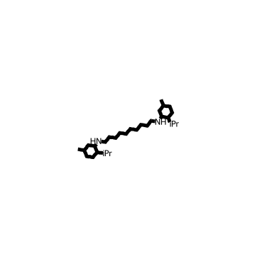 CC1CCC(C(C)C)C(NCCCCCCCCCCNC2CC(C)CCC2C(C)C)C1